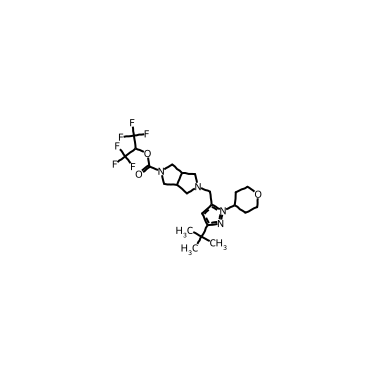 CC(C)(C)c1cc(CN2CC3CN(C(=O)OC(C(F)(F)F)C(F)(F)F)CC3C2)n(C2CCOCC2)n1